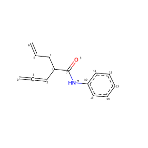 C=C=CC(CC=C)C(=O)Nc1ccccc1